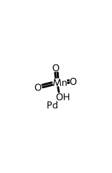 [O]=[Mn](=[O])(=[O])[OH].[Pd]